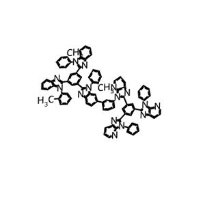 Cc1ccccc1-n1c(-c2cc(-c3nc4ccccc4n3-c3ccccc3C)cc(-c3nc4ccc(-c5cccc(-n6c(-c7cc(-c8nc9cccnc9n8-c8ccccc8)cc(-c8nc9cccnc9n8-c8ccccc8)c7)nc7cccnc76)c5)cc4n3-c3ccccc3C)c2)nc2ccccc21